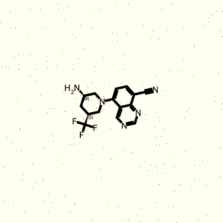 N#Cc1ccc(N2C[C@H](N)C[C@H](C(F)(F)F)C2)c2cncnc12